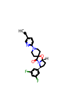 C#Cc1ccc(N2CCC3(CC2)O[C@@H]2CC[C@@H](c4cc(F)cc(F)c4)N2C3=O)nc1